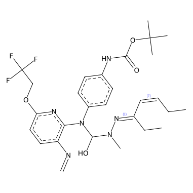 C=Nc1ccc(OCC(F)(F)F)nc1N(c1ccc(NC(=O)OC(C)(C)C)cc1)C(O)N(C)/N=C(/C=C\CC)CC